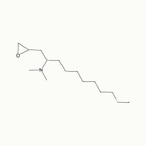 CCCCCCCCCC(CC1CO1)N(C)C